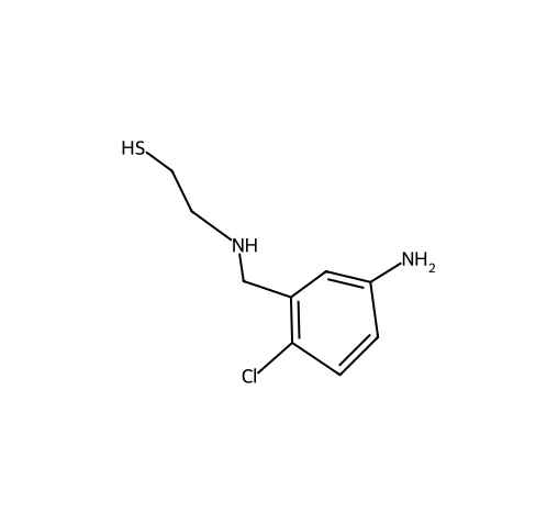 Nc1ccc(Cl)c(CNCCS)c1